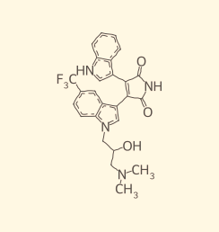 CN(C)CC(O)Cn1cc(C2=C(c3c[nH]c4ccccc34)C(=O)NC2=O)c2cc(C(F)(F)F)ccc21